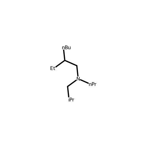 CCCCC(CC)CN(CCC)CC(C)C